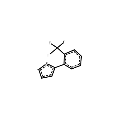 FC(F)(F)c1ccccc1-c1cc[c]s1